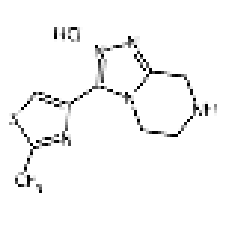 Cl.FC(F)(F)c1nc(-c2nnc3n2CCNC3)cs1